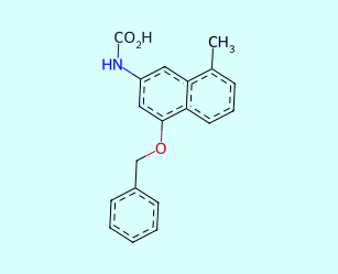 Cc1cccc2c(OCc3ccccc3)cc(NC(=O)O)cc12